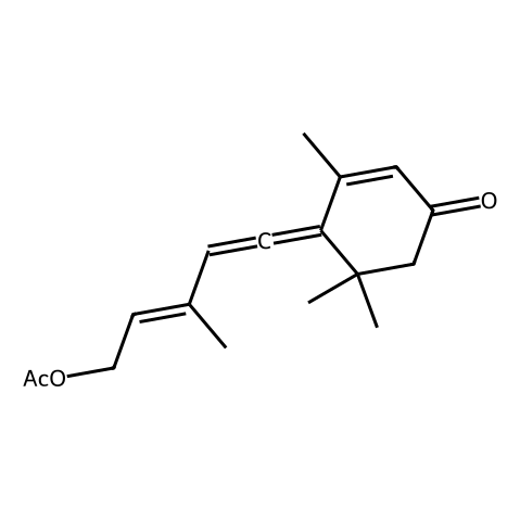 CC(=O)OC/C=C(\C)C=C=C1C(C)=CC(=O)CC1(C)C